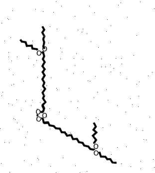 CCCCCCCOC(CCCCCCCCCCCCCCCC=CC(OC)OC(C=CCCCCCCCCCCCCCCCC(OCCCCCCC)OCCCCCCC)OC)OCCCCCCC